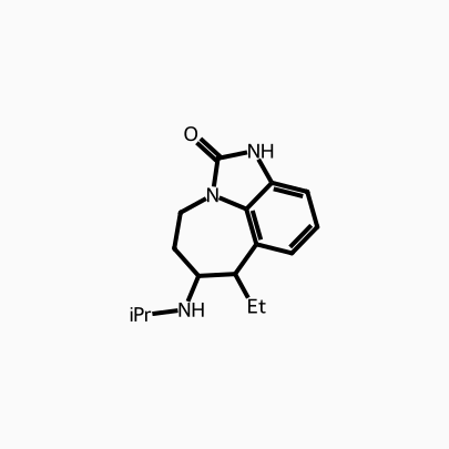 CCC1c2cccc3[nH]c(=O)n(c23)CCC1NC(C)C